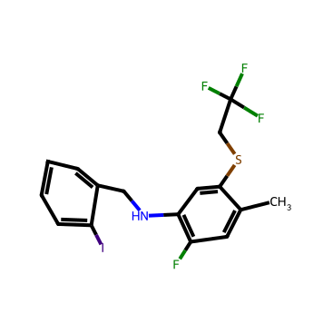 Cc1cc(F)c(NCc2ccccc2I)cc1SCC(F)(F)F